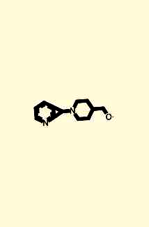 [O]CC1CCN(C2c3cccnc32)CC1